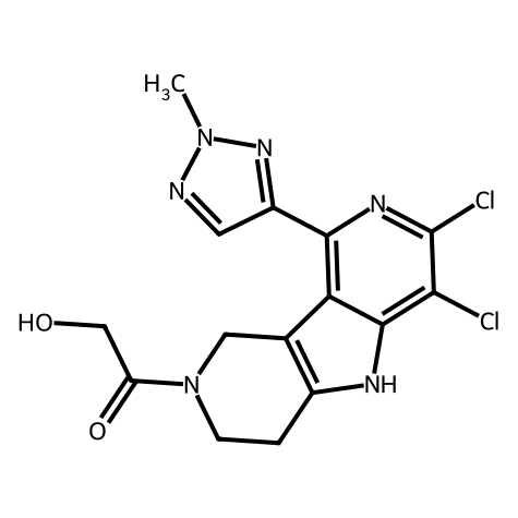 Cn1ncc(-c2nc(Cl)c(Cl)c3[nH]c4c(c23)CN(C(=O)CO)CC4)n1